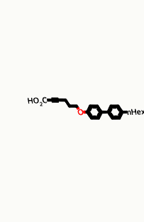 CCCCCCc1ccc(-c2ccc(OCCCC#CC(=O)O)cc2)cc1